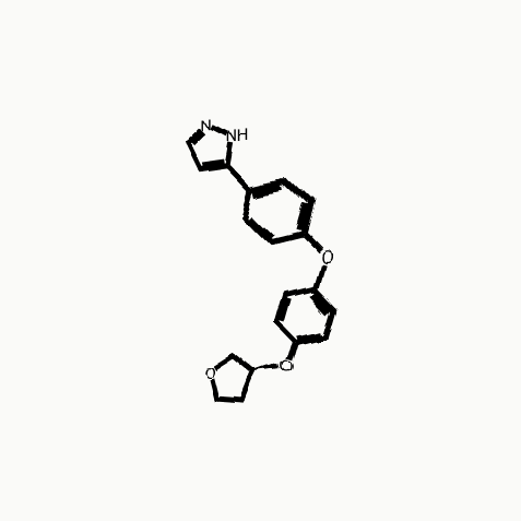 c1cc(-c2ccc(Oc3ccc(O[C@H]4CCOC4)cc3)cc2)[nH]n1